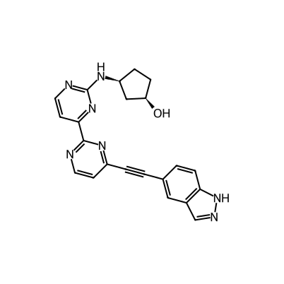 O[C@@H]1CC[C@H](Nc2nccc(-c3nccc(C#Cc4ccc5[nH]ncc5c4)n3)n2)C1